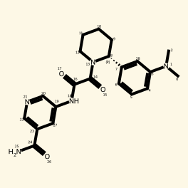 CN(C)c1cccc([C@H]2CCCCN2C(=O)C(=O)Nc2cncc(C(N)=O)c2)c1